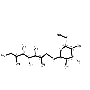 OC[C@H](O)[C@H](O)[C@@H](O)[C@H](O)[C@H](O)COC1O[C@H](CO)[C@@H](O)[C@H](O)[C@H]1O